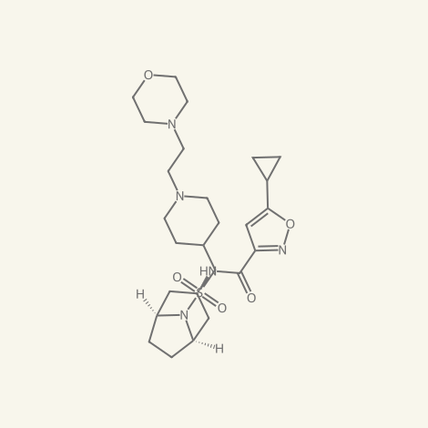 O=C(N[C@H]1C[C@H]2CC[C@@H](C1)N2S(=O)(=O)CC1CCN(CCN2CCOCC2)CC1)c1cc(C2CC2)on1